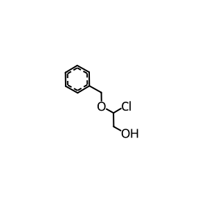 OCC(Cl)OCc1ccccc1